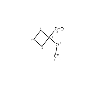 O=CC1(OC(F)(F)F)CCC1